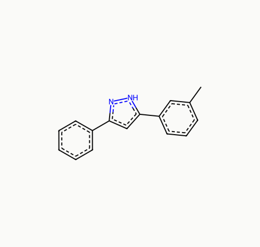 Cc1cccc(-c2cc(-c3ccccc3)n[nH]2)c1